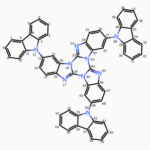 c1ccc2c(c1)c1ccccc1n2-c1ccc2nc3n(c2c1)c1nc2ccc(-n4c5ccccc5c5ccccc54)cc2n1c1nc2ccc(-n4c5ccccc5c5ccccc54)cc2n31